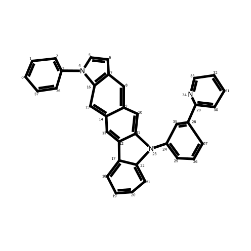 c1ccc(-n2ccc3cc4cc5c(cc4cc32)c2ccccc2n5-c2cccc(-c3ccccn3)c2)cc1